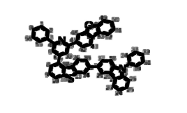 c1ccc(-c2cc(-c3cccc4sc5cc(-c6ccc7c(c6)c6ccccc6n7-c6ccccc6)ccc5c34)cc(-c3ccc4c(c3)oc3ccccc34)n2)cc1